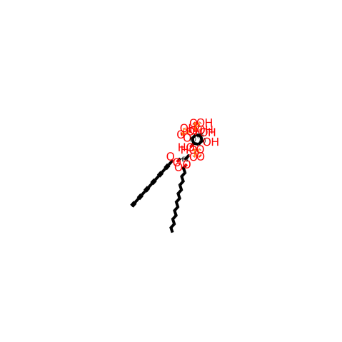 C#CC#CC#CC#CC#CC#CC(=O)OC[C@H](COP(=O)(O)OC1C(O)[C@H](OP(=O)(O)O)C(OP(=O)(O)O)[C@H](O)[C@@H]1O)OC(=O)CCCCCCCCCCCCCCC